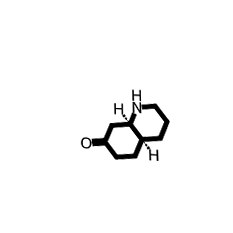 O=C1CC[C@@H]2CCCN[C@@H]2C1